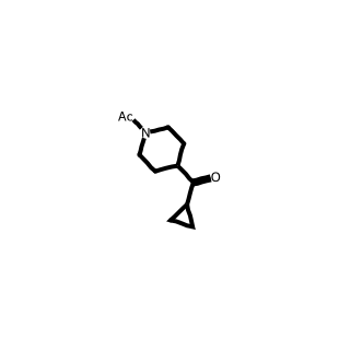 CC(=O)N1CCC(C(=O)C2CC2)CC1